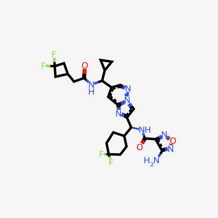 Nc1nonc1C(=O)N[C@H](c1cn2ncc(C(NC(=O)CC3CC(F)(F)C3)C3CC3)cc2n1)C1CCC(F)(F)CC1